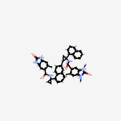 Cc1cc2[nH]c(=O)[nH]c2cc1C(=O)NC1(c2cccc3cc(C4CC4(NC(=O)c4cc5c(cc4C)n(C)c(=O)n5C)c4cccc5ccccc45)ccc23)CC1